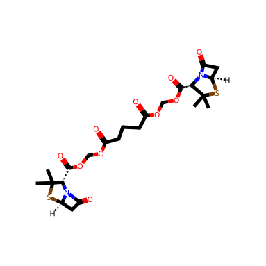 CC1(C)S[C@@H]2CC(=O)N2[C@H]1C(=O)OCOC(=O)CCCC(=O)OCOC(=O)[C@@H]1N2C(=O)C[C@H]2SC1(C)C